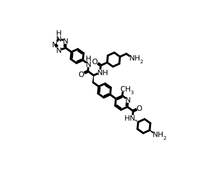 Cc1nc(C(=O)N[C@H]2CC[C@H](N)CC2)ccc1-c1ccc(C[C@H](NC(=O)C2CCC(CN)CC2)C(=O)Nc2ccc(-c3nn[nH]n3)cc2)cc1